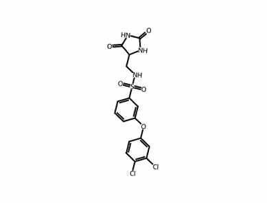 O=C1NC(=O)C(CNS(=O)(=O)c2cccc(Oc3ccc(Cl)c(Cl)c3)c2)N1